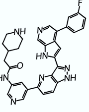 O=C(CC1CCNCC1)Nc1cncc(-c2ccc3[nH]nc(-c4cc5c(-c6cccc(F)c6)cncc5[nH]4)c3n2)c1